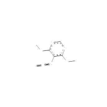 COc1ncnc(OC)c1N=C=O